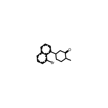 CC1CCC(c2cccc3cccc(Br)c23)CC1=O